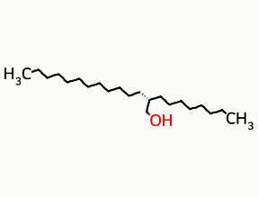 CCCCCCCCCCCC[C@@H](CO)CCCCCCCC